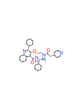 CC[C@H](NC(=O)c1c(OCCNC(=O)Cc2ccncc2)c(-c2ccccc2)nc2ccccc12)c1ccccc1